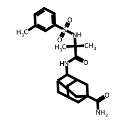 Cc1cccc(S(=O)(=O)NC(C)(C)C(=O)NC2C3CC4CC2CC(C(N)=O)(C4)C3)c1